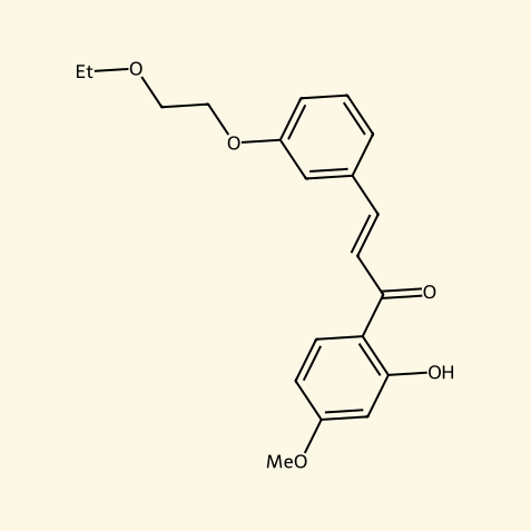 CCOCCOc1cccc(/C=C/C(=O)c2ccc(OC)cc2O)c1